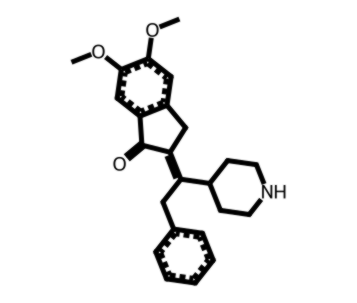 COc1cc2c(cc1OC)C(=O)C(=C(Cc1ccccc1)C1CCNCC1)C2